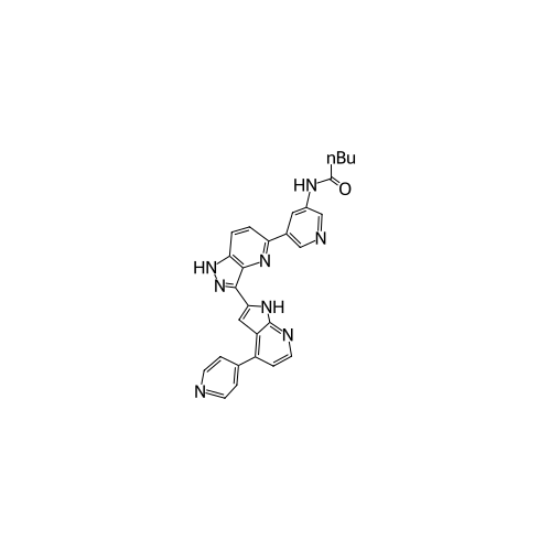 CCCCC(=O)Nc1cncc(-c2ccc3[nH]nc(-c4cc5c(-c6ccncc6)ccnc5[nH]4)c3n2)c1